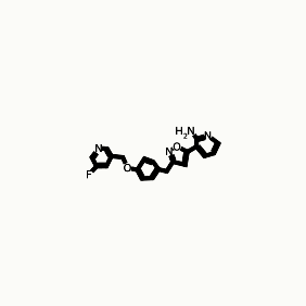 Nc1ncccc1-c1cc(Cc2ccc(OCc3cncc(F)c3)cc2)no1